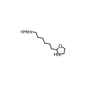 CCCCCCCCCCCCC1NCCO1